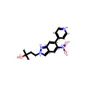 CC(C)(O)CCn1cc2cc([N+](=O)[O-])c(-c3ccncc3)cc2n1